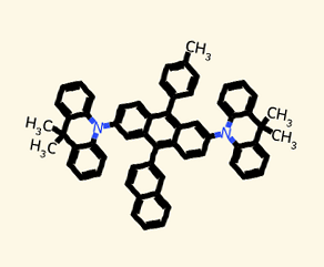 Cc1ccc(-c2c3ccc(N4c5ccccc5C(C)(C)c5ccccc54)cc3c(-c3ccc4ccccc4c3)c3ccc(N4c5ccccc5C(C)(C)c5ccccc54)cc23)cc1